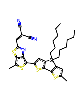 CCCCCC[Si]1(CCCCCC)c2cc(C)sc2-c2sc(-c3sc(C)c4sc(C=C(C#N)C#N)nc34)cc21